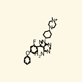 C[N+]1(C)CCN([C@H]2CC[C@@H](n3nc(-c4ccc(Oc5ccccc5)cc4F)c4c(N)ncnc43)CC2)CC1